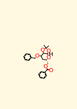 CC1(C)OC2C(OCc3ccccc3)C[C@@H](COC(=O)c3ccccc3)O[C@@H]2O1